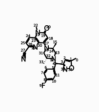 Cc1cc(C(c2ccc(F)cc2)N2C[C@H](C)N(c3cc(=O)n(C)c4ccc(C#N)nc34)C[C@H]2C)no1